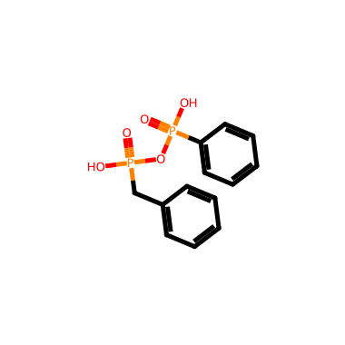 O=P(O)(Cc1ccccc1)OP(=O)(O)c1ccccc1